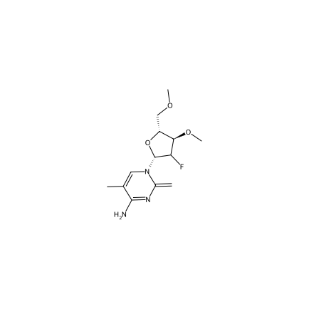 C=C1N=C(N)C(C)=CN1[C@@H]1O[C@H](COC)[C@@H](OC)C1F